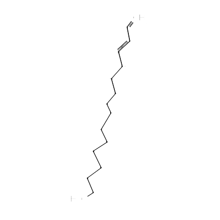 C=C/C=[C]/CCCCCCCCCCCC